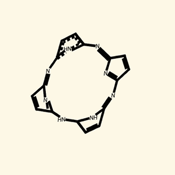 C1=C/C2=N/c3ccc([nH]3)/N=C3/C=CC(=N3)NC3C=C/C(=N/C1=N2)N3